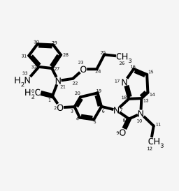 C=C(Oc1ccc(-n2c(=O)n(CC)c3cccnc32)cc1)N(COCCC)c1ccccc1N